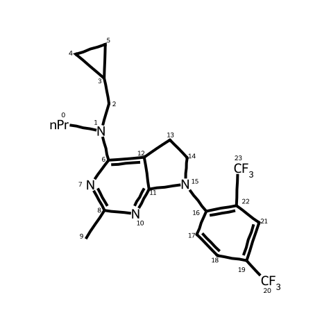 CCCN(CC1CC1)c1nc(C)nc2c1CCN2c1ccc(C(F)(F)F)cc1C(F)(F)F